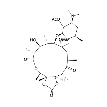 CO[C@]1(C)C[C@@H](C)C(=O)[C@H](C)[C@H]2OC(=O)O[C@]2(C)[C@@H](C)OC(=O)[C@H](C)[C@@H](O)[C@H](C)[C@H]1O[C@@H]1O[C@H](C)C[C@H](N(C)C)C1OC(C)=O